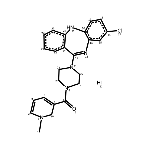 CN1C=CC=C(C(=O)N2CCN(C3=Nc4cc(Cl)ccc4Nc4ccccc43)CC2)C1.I